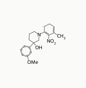 COc1cccc(C2(O)CCCN(C3=C([N+](=O)[O-])C(C)=CC[CH]3)C2)c1